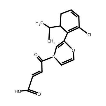 CC(C)C1CC=CC(Cl)=C1C1=CN(C(=O)/C=C/C(=O)O)C=CO1